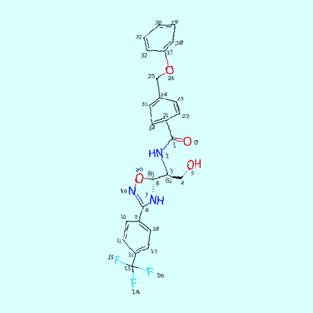 O=C(N[C@@H](CO)[C@@H]1NC(c2ccc(C(F)(F)F)cc2)=NO1)c1ccc(COc2ccccc2)cc1